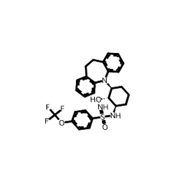 N=S(=O)(N[C@@H]1CCC[C@H](N2c3ccccc3CCc3ccccc32)[C@H]1O)c1ccc(OC(F)(F)F)cc1